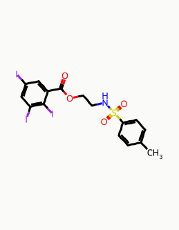 Cc1ccc(S(=O)(=O)NCCOC(=O)c2cc(I)cc(I)c2I)cc1